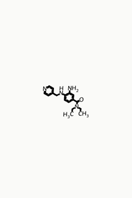 CCN(CC)C(=O)c1ccc(NCc2ccncc2)c(N)c1